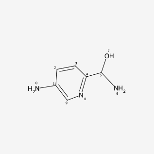 Nc1ccc(C(N)O)nc1